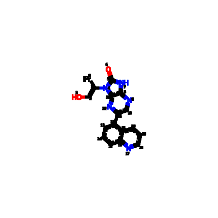 CC(C)C(=CO)n1c(=O)[nH]c2ncc(-c3cccc4ncccc34)nc21